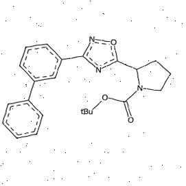 CC(C)(C)OC(=O)N1CCCC1c1nc(-c2cccc(-c3ccccc3)c2)no1